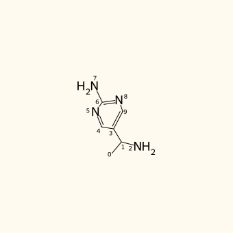 CC(N)c1cnc(N)nc1